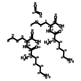 CSCC[C@H](NC(=O)[C@@H](N)CCCCN)C(=O)O.CSCC[C@H](NC(=O)[C@@H](N)CCCCN)C(=O)O.O=S=O